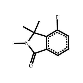 CN1C(=O)c2cccc(F)c2C1(C)C